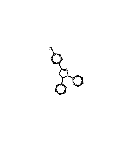 Clc1ccc(C2=NN(c3ccccc3)C(c3ccccc3)C2)cc1